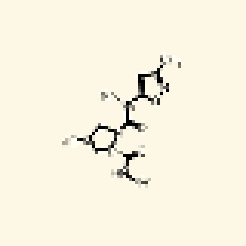 Cc1cc([C@H](C(=O)N2C[C@H](O)C[C@H]2C(=O)NC(C)C)C(C)C)on1